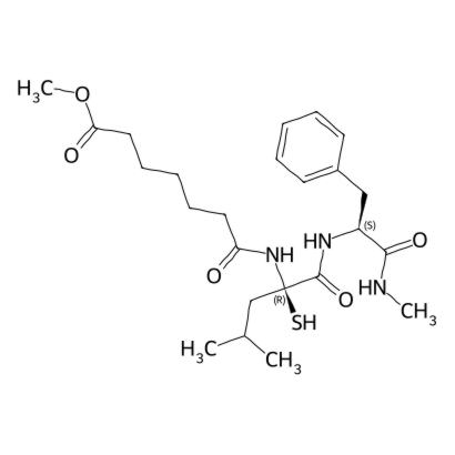 CNC(=O)[C@H](Cc1ccccc1)NC(=O)[C@](S)(CC(C)C)NC(=O)CCCCCC(=O)OC